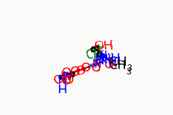 CN(C)C(=O)CCNc1nc(N2CCN(C(=O)/C=C/CCOCCOCCOc3ccc4c(c3)C(=O)N(C3CCC(=O)NC3=O)C4=O)CC2)c2cc(Cl)c(-c3cc(O)cc4ccccc34)c(F)c2n1